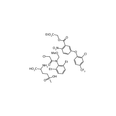 CCOC(=O)COC(=O)c1cc(Oc2ccc(C(F)(F)F)cc2Cl)ccc1[N+](=O)[O-].CCc1cccc(CC)c1N(COC)C(=O)CCl.CP(=O)(O)CCC(N)C(=O)O